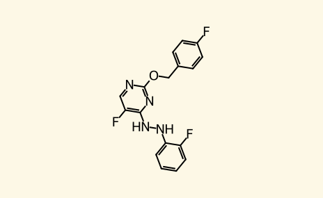 Fc1ccc(COc2ncc(F)c(NNc3ccccc3F)n2)cc1